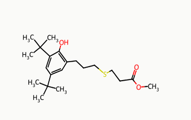 COC(=O)CCSCCCc1cc(C(C)(C)C)cc(C(C)(C)C)c1O